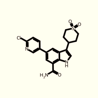 NC(=O)c1cc(-c2ccc(Cl)nc2)cc2c(C3CCS(=O)(=O)CC3)c[nH]c12